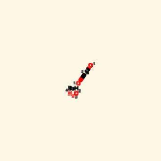 O.O=[Si]=O.[BaH2]